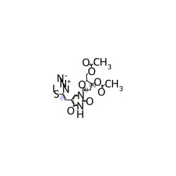 CC(=O)OCC1O[C@@H](n2cc(/C=C(\N=[N+]=[N-])SI)c(=O)[nH]c2=O)C[C@H]1OC(C)=O